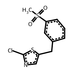 CS(=O)(=O)c1cccc(Cc2cnc(Cl)s2)c1